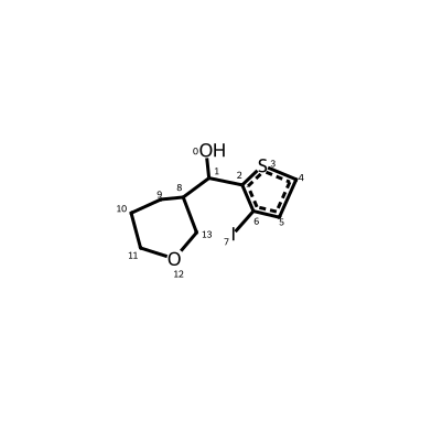 OC(c1sccc1I)C1CCCOC1